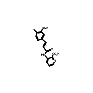 COc1cc(/C=C/C(=O)Nc2cccnc2C(=O)O)ccc1C